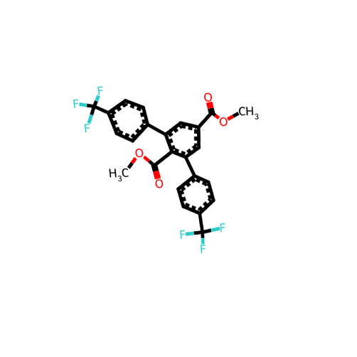 COC(=O)c1cc(-c2ccc(C(F)(F)F)cc2)c(C(=O)OC)c(-c2ccc(C(F)(F)F)cc2)c1